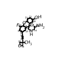 CC1(C#Cc2cc(F)c3c(c2)C2(CNC[C@@H](N)O2)c2cc(O)ccc2O3)COC1